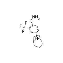 NCc1ccc(N2C3CCCC2CC3)cc1C(F)(F)F